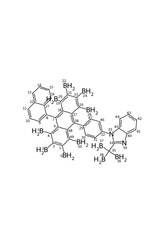 Bc1c(B)c(B)c2c(-c3cccc4ccccc34)c3c(B)c(B)c(B)c(B)c3c(-c3ccc(-n4c(C(B)(B)B)nc5ccccc54)cc3)c2c1B